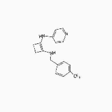 FC(F)(F)c1ccc(CNC2=C(Nc3ccncc3)CC2)cc1